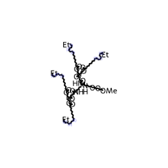 C=C(NCCCOCCOCCOC)[C@H](CCCCNC(=O)CCC(=O)N(CCOC(=O)CCCCCCC/C=C\C/C=C\C/C=C\CC)CCOC(=O)CCCCCCC/C=C\C/C=C\C/C=C\CC)NC(=O)CCC(=O)N(CCOC(=O)CCCCCCC/C=C\C/C=C\C/C=C\CC)CCOC(=O)CCCCCCC/C=C\C/C=C\C/C=C\CC